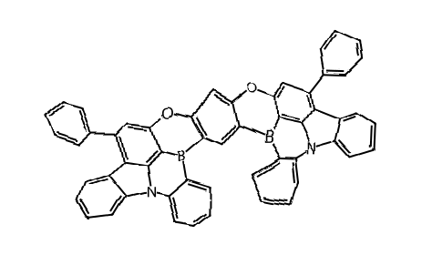 c1ccc(-c2cc3c4c5c2c2ccccc2n5-c2ccccc2B4c2cc4c(cc2O3)Oc2cc(-c3ccccc3)c3c5ccccc5n5c3c2B4c2ccccc2-5)cc1